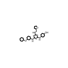 Oc1ccc(Nc2nc(NCc3ccco3)nc(Nc3cccc(Oc4ccccc4)c3)n2)cc1